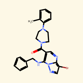 Cc1ccccc1N1CCN(C(=O)c2cnc3c(Br)cnn3c2NCc2ccccc2)CC1